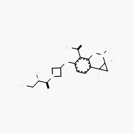 N[C@H](CO)C(=O)N1CC(Oc2ccc3c(c2C(=O)O)OB(O)[C@H]2C[C@@H]32)C1